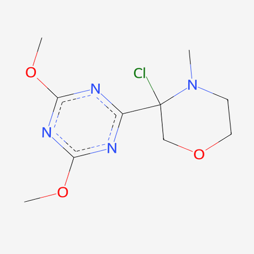 COc1nc(OC)nc(C2(Cl)COCCN2C)n1